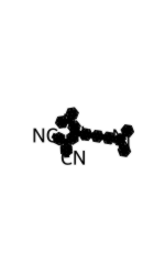 N#Cc1ccc(N(c2ccc(C#N)cc2)c2ccc3c(c2)c2cc(N(c4ccccc4)c4ccccc4)ccc2n3-c2ccc(-c3ccc(-c4ccc(-c5cc(-c6ccccc6)nc(-c6ccccc6)n5)cc4)cc3)cc2)cc1